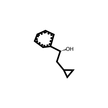 O[C@H](CC1CC1)c1ccccc1